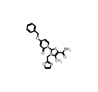 CC1=C(C(N)=O)SC(n2ccc(OCc3ccccc3)cc2=O)N1Cc1ncco1